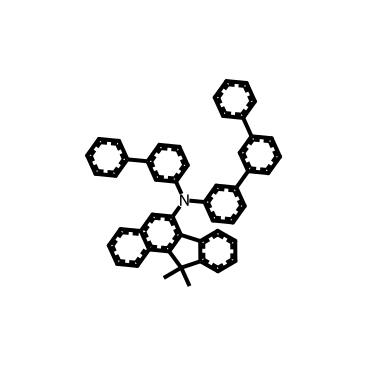 CC1(C)c2ccccc2-c2c(N(c3cccc(-c4ccccc4)c3)c3cccc(-c4cccc(-c5ccccc5)c4)c3)cc3ccccc3c21